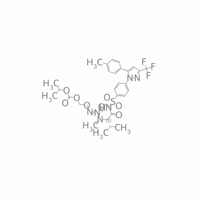 Cc1ccc(-c2cc(C(F)(F)F)nn2-c2ccc(S(=O)(=O)NC(=O)[C@H](C(C)C)N(C)[N+]([O-])=NOCOC(=O)OC(C)C)cc2)cc1